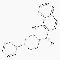 O=C(c1ccc2cccnc2c1O)N1CCC(c2ccccc2)CC1